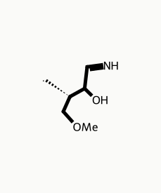 [CH2][C@@H](COC)C(O)C=N